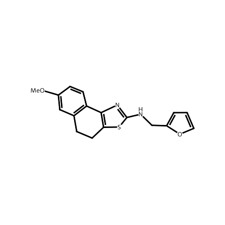 COc1ccc2c(c1)CCc1sc(NCc3ccco3)nc1-2